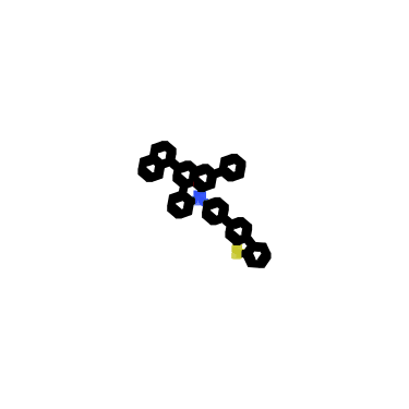 c1ccc(-c2cccc(N(c3ccc(-c4ccc5c(c4)sc4ccccc45)cc3)c3ccccc3-c3cccc(-c4cccc5ccccc45)c3)c2)cc1